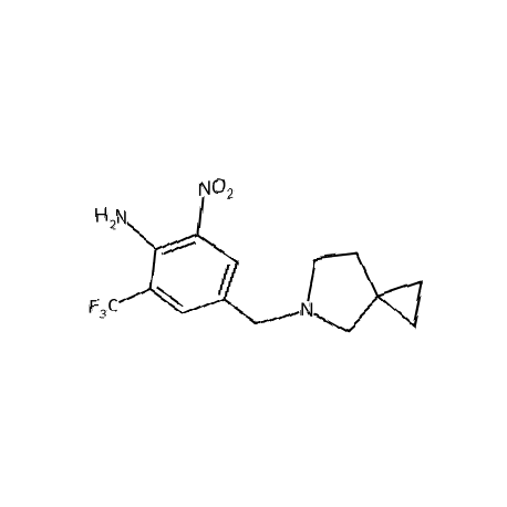 Nc1c([N+](=O)[O-])cc(CN2CCC3(CC3)C2)cc1C(F)(F)F